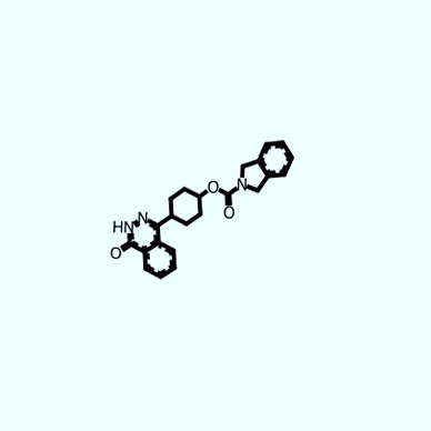 O=C(OC1CCC(c2n[nH]c(=O)c3ccccc23)CC1)N1Cc2ccccc2C1